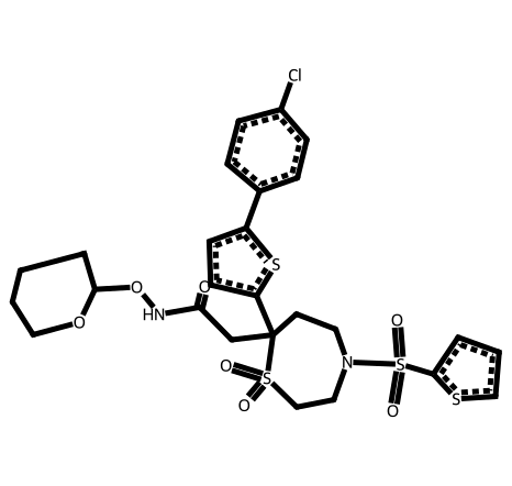 O=C(CC1(c2ccc(-c3ccc(Cl)cc3)s2)CCN(S(=O)(=O)c2cccs2)CCS1(=O)=O)NOC1CCCCO1